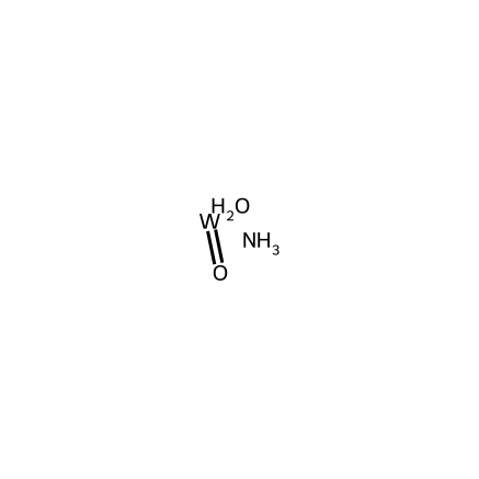 N.O.[O]=[W]